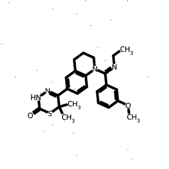 CC/N=C(/c1cccc(OC)c1)N1CCCc2cc(C3=NNC(=O)SC3(C)C)ccc21